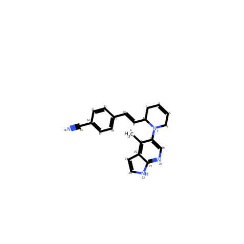 Cc1c(N2CC=CCC2C=Cc2ccc(C#N)cc2)cnc2[nH]ccc12